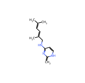 C=C1N=C(NC/C(C)=C/C=C(C)C)C=CN1